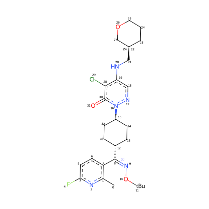 Cc1nc(F)ccc1/C(=N\OC(C)(C)C)[C@H]1CC[C@H](n2ncc(NC[C@@H]3CCCOC3)c(Cl)c2=O)CC1